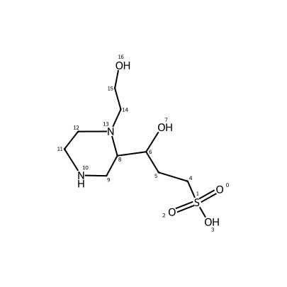 O=S(=O)(O)CCC(O)C1CNCCN1CCO